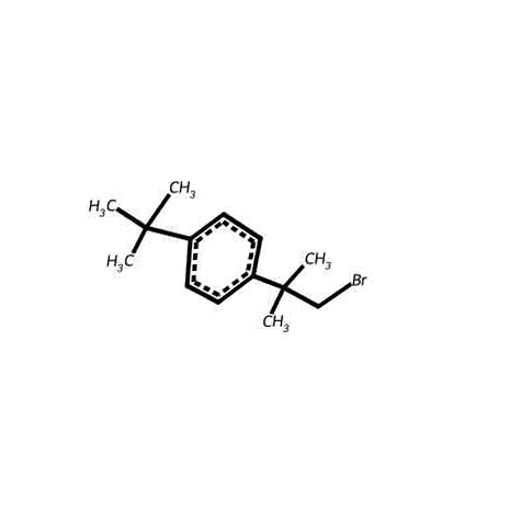 CC(C)(C)c1ccc(C(C)(C)CBr)cc1